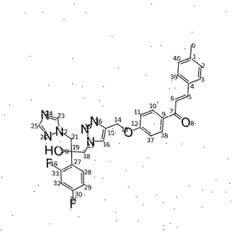 Cc1ccc(/C=C/C(=O)c2ccc(OCc3cn(CC(O)(Cn4cncn4)c4ccc(F)cc4F)nn3)cc2)cc1